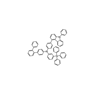 c1ccc(-c2ccccc2-c2ccc(N(c3ccc(-c4cccc5c4c4ccccc4n5-c4ccccc4)cc3)c3cccc([Si](c4ccccc4)(c4ccccc4)c4ccccc4)c3)cc2)cc1